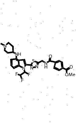 COC(=O)c1ccc(C(=O)NCc2nnc(-c3cc4c(NC5CCN(C)CC5)cccc4n3C(F)C(F)F)s2)cc1